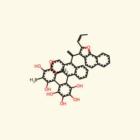 Bc1c(O)c(O)c(B)c(-c2c(O)c(O)c(O)c(O)c2-c2c3ccccc3c(C(=C)c3c(/C=C\C)oc4c3ccc3ccccc34)c3ccccc23)c1O